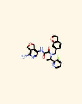 CC(c1ncccc1F)N(Cc1ccc2c(c1)OCC2)C(=O)C(=O)Nc1cnc(N)c2c1COC2